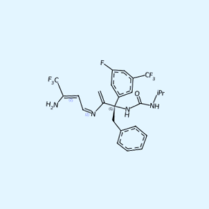 C=C(/N=C\C=C(/N)C(F)(F)F)[C@@](Cc1ccccc1)(NC(=O)NC(C)C)c1cc(F)cc(C(F)(F)F)c1